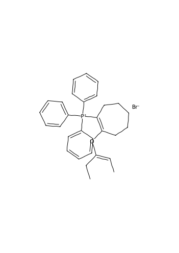 CC=C(CC)OC1=C([P+](c2ccccc2)(c2ccccc2)c2ccccc2)CCCCC1.[Br-]